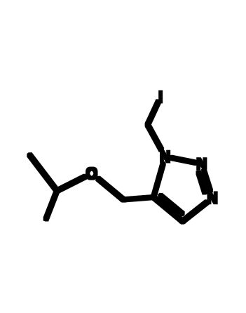 CC(C)OCc1cnnn1CI